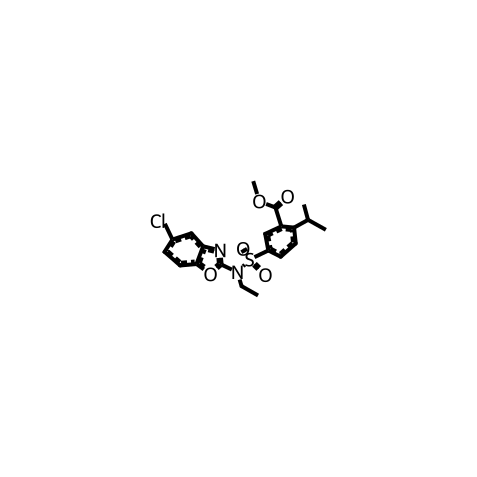 CCN(c1nc2cc(Cl)ccc2o1)S(=O)(=O)c1ccc(C(C)C)c(C(=O)OC)c1